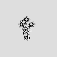 O=C(NCc1ncco1)C(=O)C(Cc1ccccc1)NC(=O)[C@H]1CCC(=O)N1Cc1ccccc1